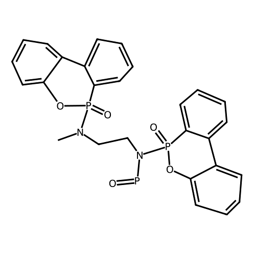 CN(CCN(P=O)P1(=O)Oc2ccccc2-c2ccccc21)P1(=O)Oc2ccccc2-c2ccccc21